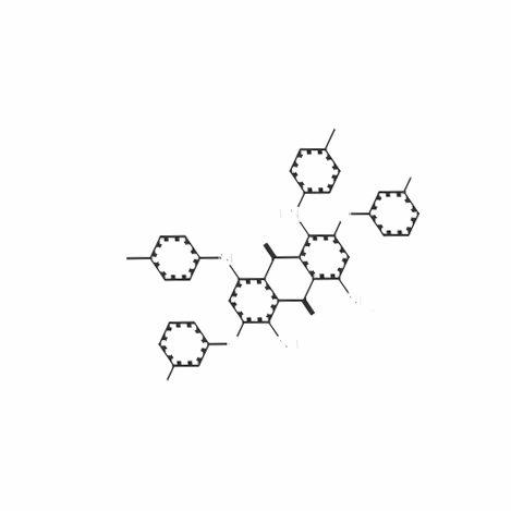 Cc1ccc(Nc2cc(Oc3cccc(F)c3)c(N)c3c2C(=O)c2c(Nc4ccc(C)cc4)c(Oc4cccc(F)c4)cc(N)c2C3=O)cc1